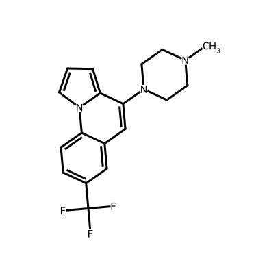 CN1CCN(c2cc3cc(C(F)(F)F)ccc3n3cccc23)CC1